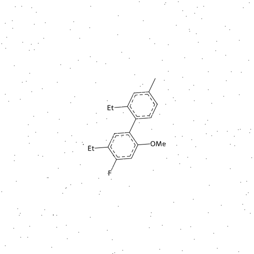 CCc1cc(-c2ccc(C)cc2CC)c(OC)cc1F